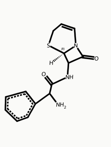 NC(C(=O)NC1C(=O)N2C=CCS[C@H]12)c1ccccc1